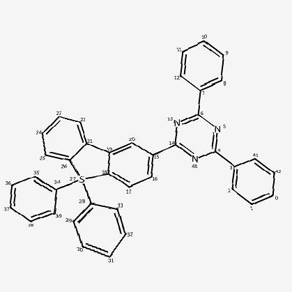 c1ccc(-c2nc(-c3ccccc3)nc(-c3ccc4c(c3)-c3ccccc3S4(c3ccccc3)c3ccccc3)n2)cc1